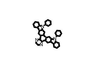 c1ccc(-n2c3ccccc3c3cc4c(cc32)c2cc3c(cc2c2nccnc42)c2ccccc2n3-c2ccccc2)cc1